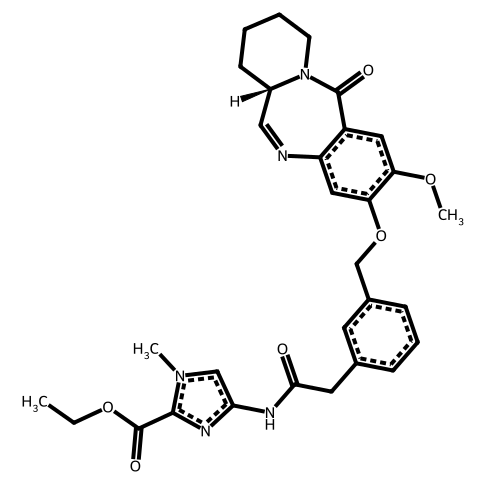 CCOC(=O)c1nc(NC(=O)Cc2cccc(COc3cc4c(cc3OC)C(=O)N3CCCC[C@H]3C=N4)c2)cn1C